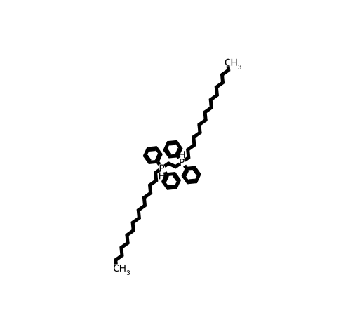 CCCCCCCCCCCCCCCC[PH](CC[PH](CCCCCCCCCCCCCCCC)(c1ccccc1)c1ccccc1)(c1ccccc1)c1ccccc1